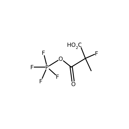 CC(F)(C(=O)O)C(=O)OP(F)(F)(F)F